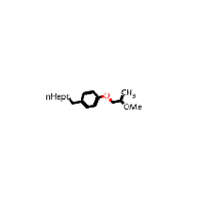 CCCCCCCCc1ccc(OCC(C)OC)cc1